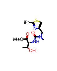 COC(=O)[C@@H](NC(=O)N(C)Cc1csc(C(C)C)n1)C(C)O